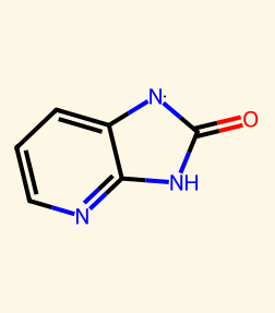 O=C1[N]c2cccnc2N1